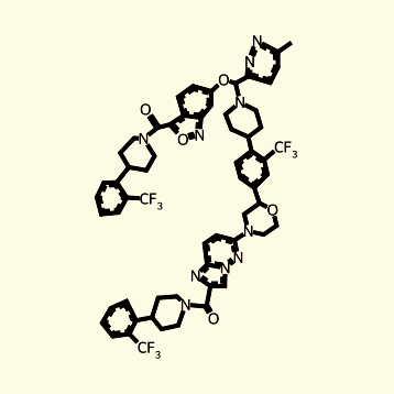 Cc1ccc(C(Oc2ccc3c(C(=O)N4CCC(c5ccccc5C(F)(F)F)CC4)onc3c2)N2CCC(c3ccc(C4CN(c5ccc6nc(C(=O)N7CCC(c8ccccc8C(F)(F)F)CC7)cn6n5)CCO4)cc3C(F)(F)F)CC2)nn1